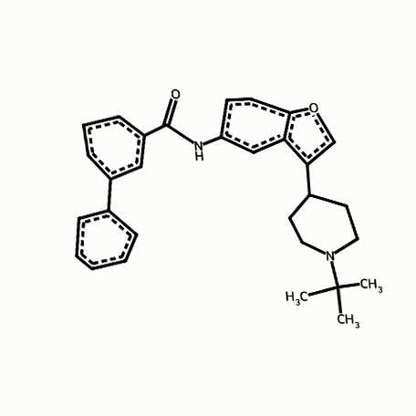 CC(C)(C)N1CCC(c2coc3ccc(NC(=O)c4cccc(-c5ccccc5)c4)cc23)CC1